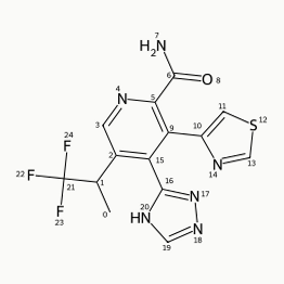 CC(c1cnc(C(N)=O)c(-c2cscn2)c1-c1nnc[nH]1)C(F)(F)F